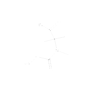 CCCOC(=O)N(C)C(C)(C)C([NH])=O